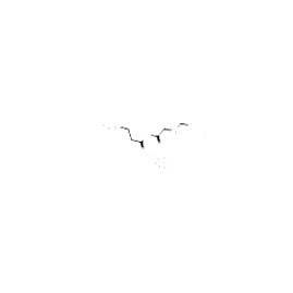 CCCCCCCCCCCC(=O)OC(=O)CNCC(=O)O.[NaH].[NaH]